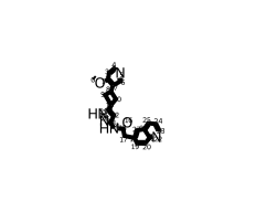 COc1ccncc1C1CC(c2cc(NC(=O)Cc3ccc4ncccc4c3)n[nH]2)C1